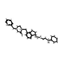 O=C1CN(Cc2ccccn2)CCN1Cc1cccc2c1CCC2NCCCNC1CCCCC1